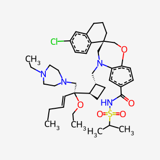 CC/C=C/[C@](CN1CCN(CC)CC1)(OCC)[C@@H]1CC[C@H]1CN1C[C@@]2(CCCc3cc(Cl)ccc32)COc2ccc(C(=O)NS(=O)(=O)C(C)C)cc21